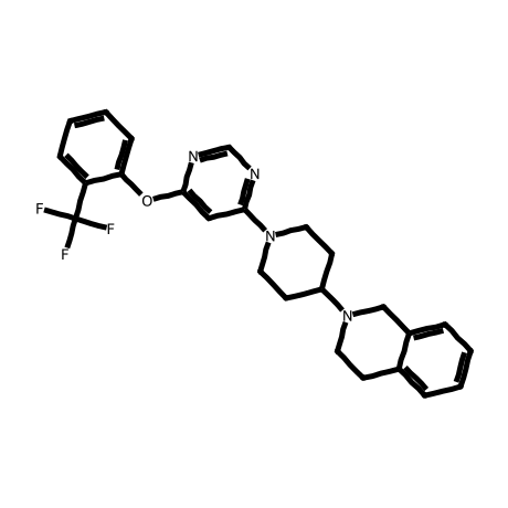 FC(F)(F)c1ccccc1Oc1cc(N2CCC(N3CCc4ccccc4C3)CC2)ncn1